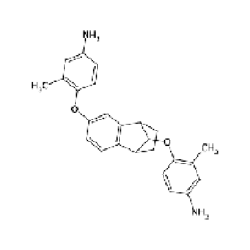 Cc1cc(N)ccc1Oc1ccc2c(c1)C1CCC2C1Oc1ccc(N)cc1C